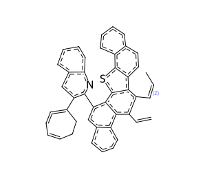 C=Cc1c(/C=C\C)c2c3ccc4ccccc4c3sc2c2c(-c3nc4ccccc4cc3C3=C=CC=CCC3)cc3ccccc3c12